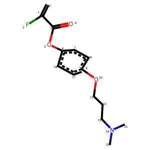 C=C(F)C(=O)Oc1ccc(OCCCN(C)C)cc1